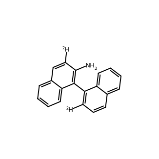 [2H]c1cc2ccccc2c(-c2c([2H])ccc3ccccc23)c1N